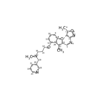 Cc1cc(/N=C\c2oc3cccc(OCCCN(C)Cc4cccnc4)c3c2C)no1